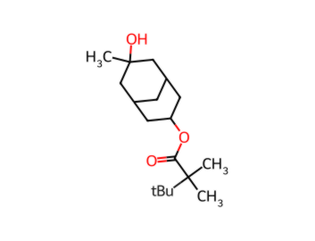 CC1(O)CC2CC(CC(OC(=O)C(C)(C)C(C)(C)C)C2)C1